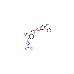 CC1=C(CN2CC(C(=O)Cl)C2)CCc2cc(OCc3cc(C4CCCC4)c(C(F)(F)F)cn3)ccc21